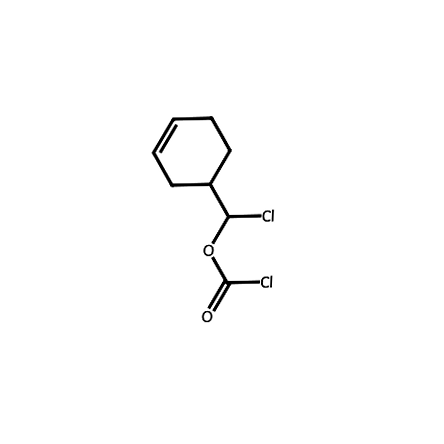 O=C(Cl)OC(Cl)C1CC=CCC1